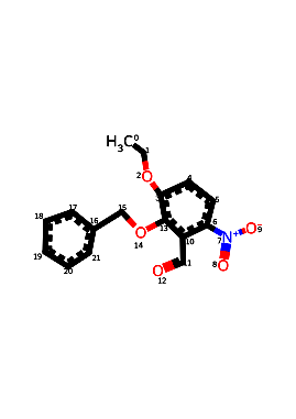 CCOc1ccc([N+](=O)[O-])c(C=O)c1OCc1ccccc1